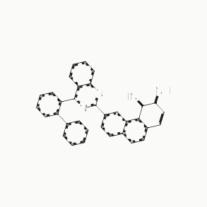 N=C1C=Cc2ccc3ccc(-c4nc(-c5ccccc5-c5ccccc5)c5ccccc5n4)cc3c2C1=N